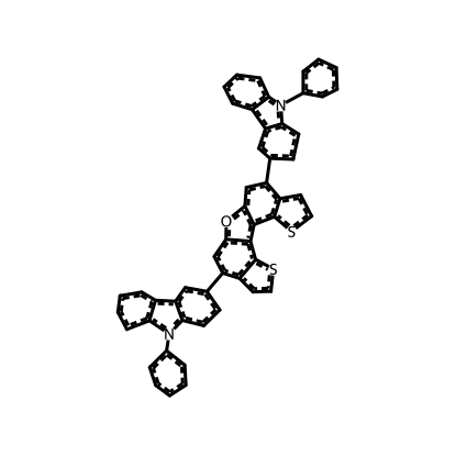 c1ccc(-n2c3ccccc3c3cc(-c4cc5oc6cc(-c7ccc8c(c7)c7ccccc7n8-c7ccccc7)c7ccsc7c6c5c5sccc45)ccc32)cc1